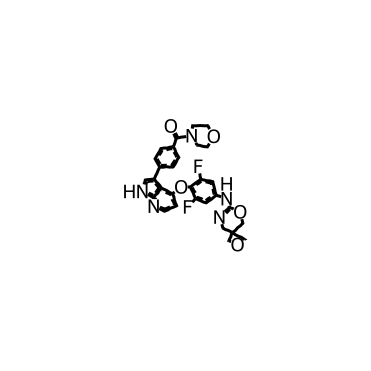 O=C(c1ccc(-c2c[nH]c3nccc(Oc4c(F)cc(NC5=NCC6(COC6)CO5)cc4F)c23)cc1)N1CCOCC1